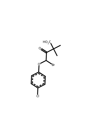 CC(C)(C(=O)O)C(=O)C(Br)Oc1ccc(Cl)cc1